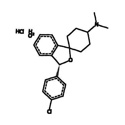 CN(C)C1CCC2(CC1)O[C@H](c1ccc(Cl)cc1)c1ccccc12.Cl.O